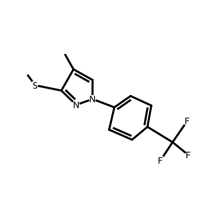 CSc1nn(-c2ccc(C(F)(F)F)cc2)cc1C